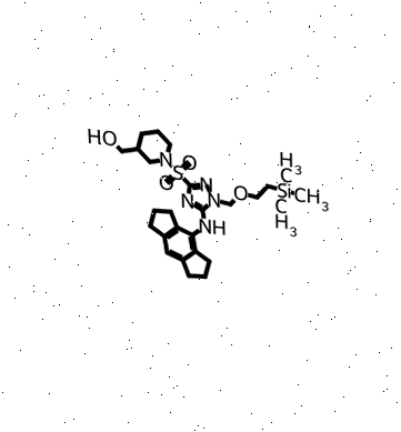 C[Si](C)(C)CCOCn1nc(S(=O)(=O)N2CCCC(CO)C2)nc1Nc1c2c(cc3c1CCC3)CCC2